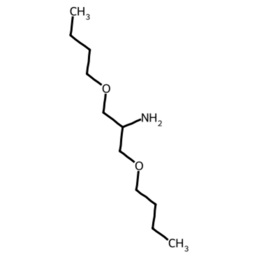 CCCCOCC(N)COCCCC